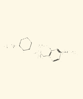 COc1ccc(CNC[C@H]2CCC[C@@H](N)C2)c(OC)c1